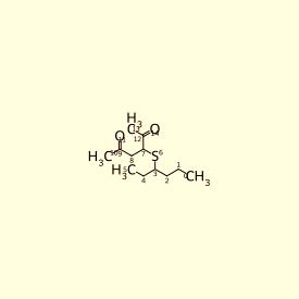 CCCC(CC)SC(CC(C)=O)C(C)=O